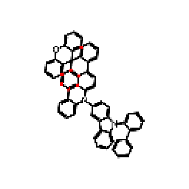 c1ccc(-c2ccccc2N(c2ccc3c(c2)c2ccccc2n3-c2ccccc2-c2ccccc2)c2ccc3c4c(cccc24)C2(c4ccccc4Oc4ccccc42)c2ccccc2-3)cc1